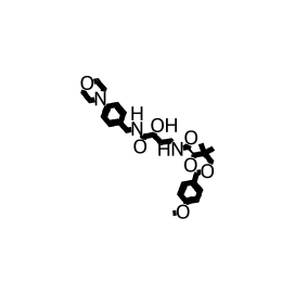 COc1ccc(C2OCC(C)(C)[C@H](C(=O)NCCC(O)C(=O)NCc3ccc(N4CCOCC4)cc3)O2)cc1